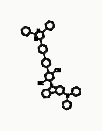 N#Cc1cc(-n2c3ccccc3c3cc(N(c4ccccc4)c4ccccc4)ccc32)c(C#N)cc1-c1ccc(-c2ccc(-c3cc(-c4ccccc4)nc(-c4ccccc4)n3)cc2)cc1